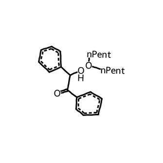 CCCCCOCCCCC.O=C(c1ccccc1)C(O)c1ccccc1